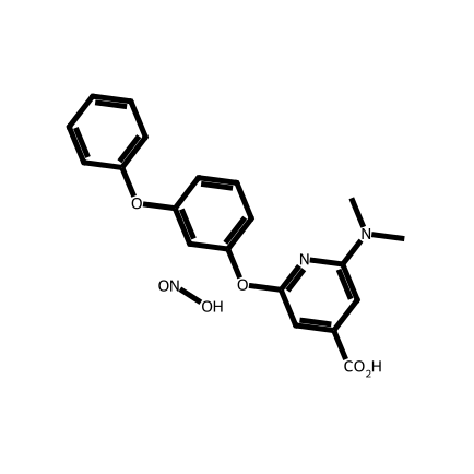 CN(C)c1cc(C(=O)O)cc(Oc2cccc(Oc3ccccc3)c2)n1.O=NO